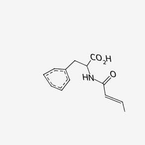 CC=CC(=O)NC(Cc1ccccc1)C(=O)O